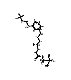 CC(C)(C)CCOc1cccc(CCCNCCC(=O)OC(=O)C(F)(F)F)c1